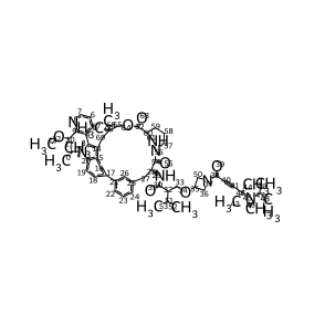 CCn1c(-c2cccnc2[C@H](C)OC)c2c3cc(ccc31)-c1cccc(c1)C[C@H](NC(=O)[C@@H](COC1CN(C(=O)C#CC(C)(C)N(C)C(C)C)C1)C(C)C)C(=O)N1CCCC(N1)C(=O)OCC(C)(C)C2